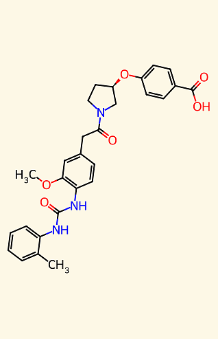 COc1cc(CC(=O)N2CC[C@@H](Oc3ccc(C(=O)O)cc3)C2)ccc1NC(=O)Nc1ccccc1C